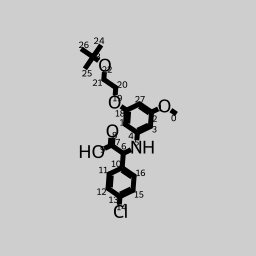 COc1cc(NC(C(=O)O)c2ccc(Cl)cc2)cc(OCCOC(C)(C)C)c1